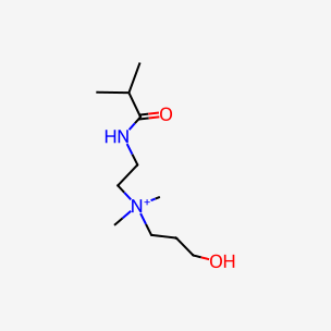 CC(C)C(=O)NCC[N+](C)(C)CCCO